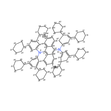 CC(C)(C)c1ccc2c(N(c3cc(C4CCCCC4)cc(C4CCCCC4)c3)c3cc(C4CCCCC4)cc(C4CCCCC4)c3)c3cc(C(C)(C)C)ccc3c(N(C3=CC(C4CCCCC4)CC(C4CCCCC4)=C3)C3=CC(C4CCCCC4)=CC(C4CCCCC4)C3)c2c1